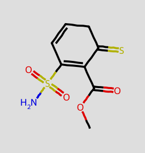 COC(=O)C1=C(S(N)(=O)=O)C=CCC1=S